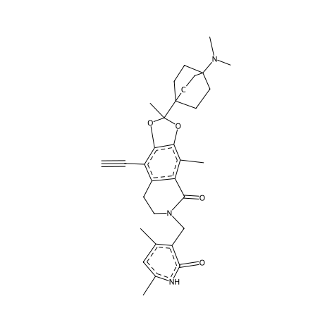 C#Cc1c2c(c(C)c3c1OC(C)(C14CCC(N(C)C)(CC1)CC4)O3)C(=O)N(Cc1c(C)cc(C)[nH]c1=O)CC2